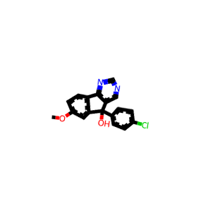 COc1ccc2c(c1)C(O)(c1ccc(Cl)cc1)c1cncnc1-2